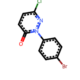 O=c1ccc(Cl)nn1-c1ccc(Br)cc1